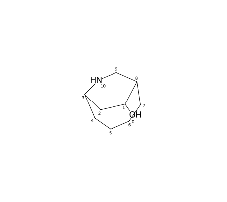 OC1CC2CCCCC1CN2